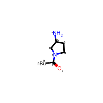 CCCCC(=O)N1CCC(N)C1